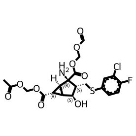 CC(=O)OCOC(=O)[C@H]1C2[C@H](O)[C@@H](CSc3ccc(F)c(Cl)c3)[C@@](N)(C(=O)OCOC=O)[C@@H]21